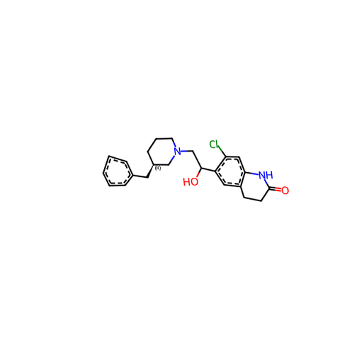 O=C1CCc2cc(C(O)CN3CCC[C@H](Cc4ccccc4)C3)c(Cl)cc2N1